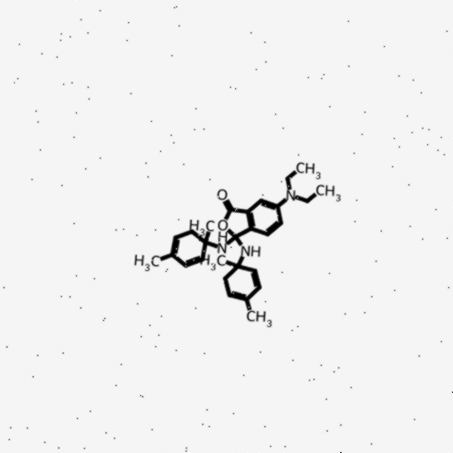 CCN(CC)c1ccc2c(c1)C(=O)OC2(NC1(C)C=CC(C)=CC1)NC1(C)C=CC(C)=CC1